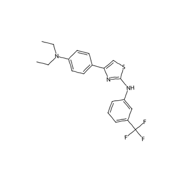 CCN(CC)c1ccc(-c2csc(Nc3cccc(C(F)(F)F)c3)n2)cc1